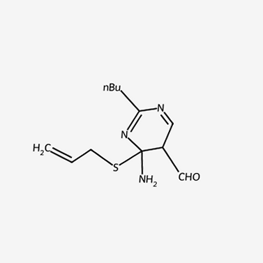 C=CCSC1(N)N=C(CCCC)N=CC1C=O